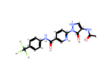 CC(=O)Nc1c[nH]n(-c2ccc(C(=O)Nc3ccc(C(F)(F)F)cc3)cn2)c1=O